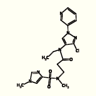 CCN(C(=O)CCN(C)S(=O)(=O)c1cn(C)cn1)c1cn(-c2cccnc2)nc1Cl